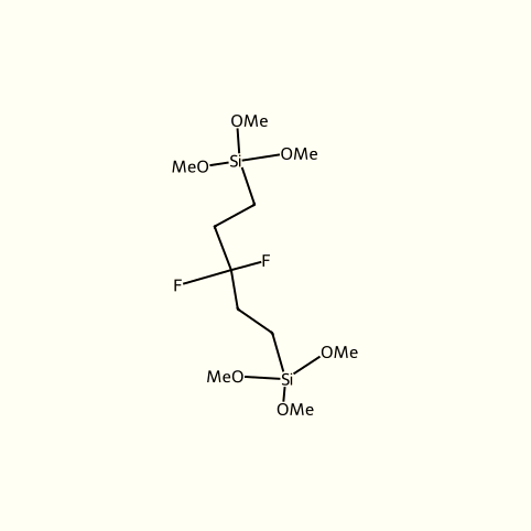 CO[Si](CCC(F)(F)CC[Si](OC)(OC)OC)(OC)OC